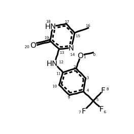 COc1cc(C(F)(F)F)ccc1Nc1nc(C)c[nH]c1=O